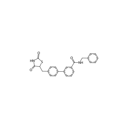 O=C1NC(=O)C(Cc2ccc(-c3cccc(C(=O)NCc4ccccc4)c3)cc2)S1